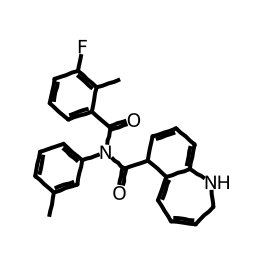 Cc1cccc(N(C(=O)c2cccc(F)c2C)C(=O)C2C=CC=C3NCC=CC=C32)c1